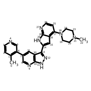 Cc1ccncc1-c1cnc2[nH]nc(-c3cc4c(N5CCN(C)CC5)ccnc4[nH]3)c2c1